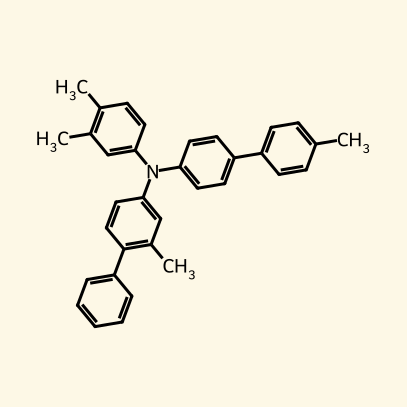 Cc1ccc(-c2ccc(N(c3ccc(C)c(C)c3)c3ccc(-c4ccccc4)c(C)c3)cc2)cc1